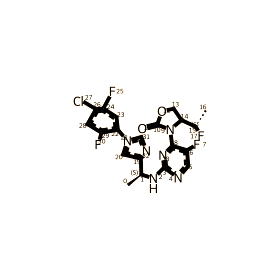 C[C@H](Nc1ncc(F)c(N2C(=O)OCC2[C@H](C)F)n1)c1cn(-c2cc(F)c(Cl)cc2F)cn1